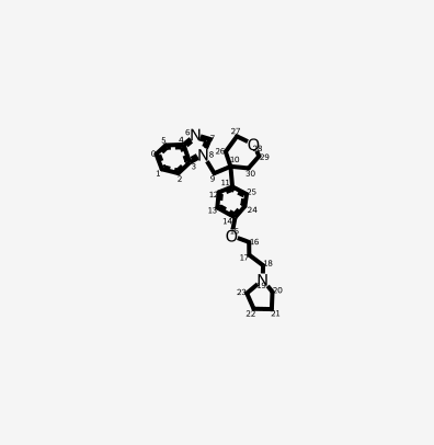 c1ccc2c(c1)ncn2CC1(c2ccc(OCCCN3CCCC3)cc2)CCOCC1